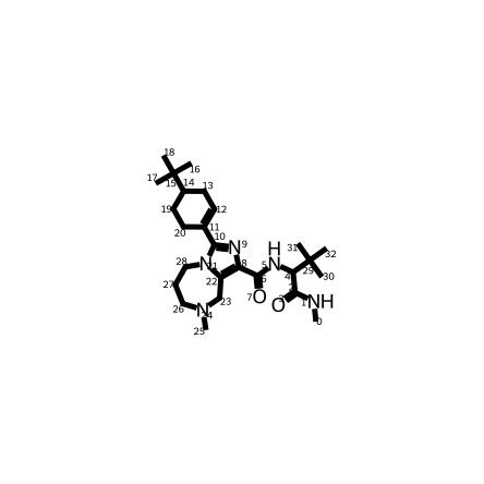 CNC(=O)C(NC(=O)c1nc(C2=CCC(C(C)(C)C)CC2)n2c1CN(C)CCC2)C(C)(C)C